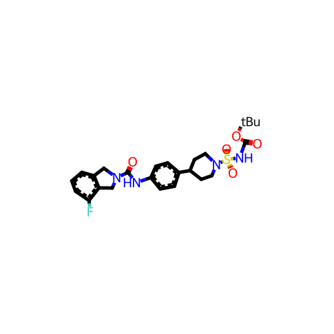 CC(C)(C)OC(=O)NS(=O)(=O)N1CCC(c2ccc(NC(=O)N3Cc4cccc(F)c4C3)cc2)CC1